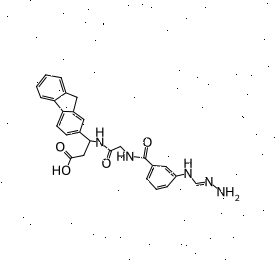 NN=CNc1cccc(C(=O)NCC(=O)NC(CC(=O)O)c2ccc3c(c2)Cc2ccccc2-3)c1